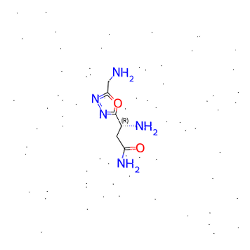 NCc1nnc([C@H](N)CC(N)=O)o1